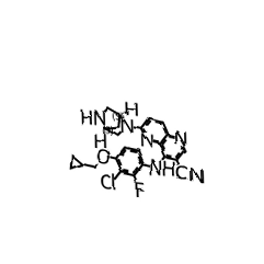 N#Cc1cnc2ccc(N3C[C@@H]4C[C@H]3CN4)nc2c1Nc1ccc(OCC2CC2)c(Cl)c1F